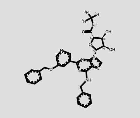 [2H]C([2H])([2H])NC(=O)[C@H]1O[C@@H](n2cnc3c(NCc4ccccc4)nc(-c4cncc(OCc5ccccc5)c4)nc32)[C@H](O)[C@@H]1O